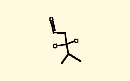 CC(C)C(Cl)(Cl)CC=O